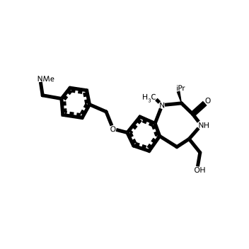 CNCc1ccc(COc2ccc3c(c2)N(C)[C@@H](C(C)C)C(=O)NC(CO)C3)cc1